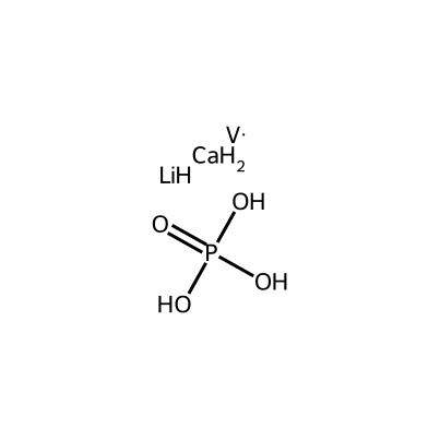 O=P(O)(O)O.[CaH2].[LiH].[V]